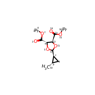 CC(C)OC(=O)[C@H]1OC([C@H]2C[C@@H]2C)O[C@@H]1C(=O)OC(C)C